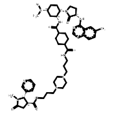 CC(C)N(C)[C@@H]1CC[C@H](N2CC[C@H](Nc3ncnc4ccc(C(F)(F)F)cc34)C2=O)[C@H](NC(=O)C2CCC(C(=O)NCCCN3CCN(CCCNC(=O)[C@H]4CC(=O)N(C)[C@@H]4c4cccnc4)CC3)CC2)C1